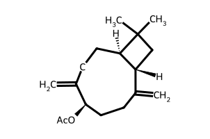 C=C1CC[C@@H](OC(C)=O)C(=C)CC[C@@H]2[C@@H]1CC2(C)C